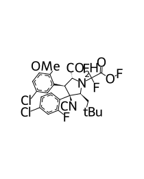 COc1ccc(Cl)cc1[C@H]1[C@H](C(=O)O)N(C(F)(F)C(=O)OF)[C@@H](CC(C)(C)C)[C@]1(C#N)c1ccc(Cl)cc1F